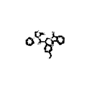 O=C1c2ccccc2C(=O)N1CC(C(=O)N1C(=O)OC[C@H]1c1ccccc1)c1ccc(CBr)cc1